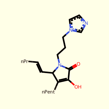 CCC/C=C/C1C(CCCCC)=C(O)C(=O)N1CCCn1ccnc1